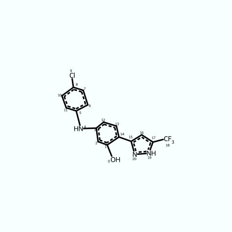 Oc1cc(Nc2ccc(Cl)cc2)ccc1-c1cc(C(F)(F)F)[nH]n1